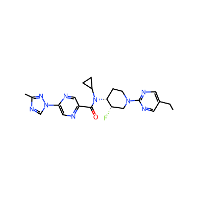 CCc1cnc(N2CC[C@@H](N(C(=O)c3cnc(-n4cnc(C)n4)cn3)C3CC3)[C@@H](F)C2)nc1